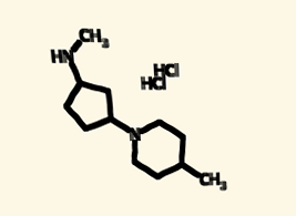 CNC1CCC(N2CCC(C)CC2)C1.Cl.Cl